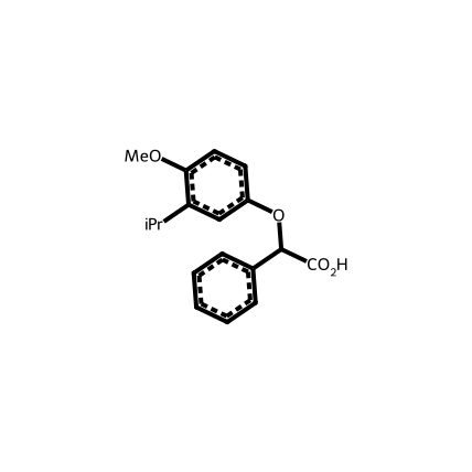 COc1ccc(OC(C(=O)O)c2ccccc2)cc1C(C)C